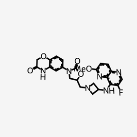 COc1ccc2ncc(F)c(NC3CN(CC4CN(c5ccc6c(c5)NC(=O)CO6)C(=O)O4)C3)c2n1